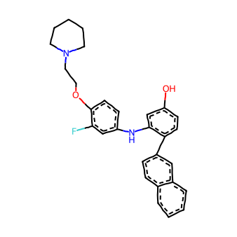 Oc1ccc(-c2ccc3ccccc3c2)c(Nc2ccc(OCCN3CCCCC3)c(F)c2)c1